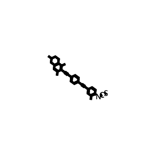 Cc1cc(C#Cc2ccc(C#Cc3c(C)cc4c(c3C)CCC(C)C4)cc2)ccc1N=C=S